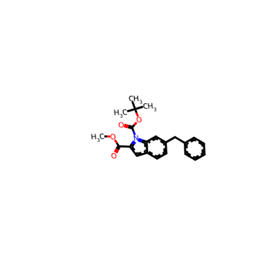 COC(=O)c1cc2ccc(Cc3ccccc3)cc2n1C(=O)OC(C)(C)C